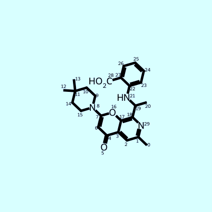 Cc1cc2c(=O)cc(N3CCC(C)(C)CC3)oc2c(C(C)Nc2ccccc2C(=O)O)n1